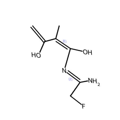 C=C(O)/C(C)=C(O)\N=C(/N)CF